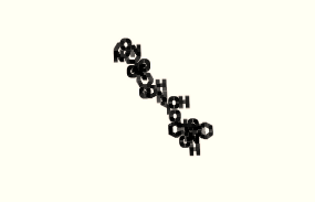 CN1CCOc2ncc(S(=O)(=O)N3CCC4(CC3)CC(NCC(O)COc3cccc(S(=O)(=O)N[C@@H]5CCCC[C@@H]5O)c3)CO4)cc21